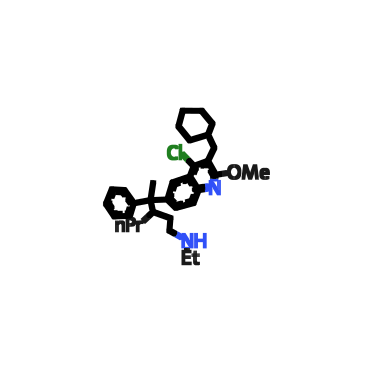 CCCC(CCNCC)C(C)(c1ccccc1)c1ccc2nc(OC)c(CC3CCCCC3)c(Cl)c2c1